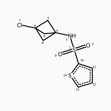 O=S(=O)(NC12CC(Cl)(C1)C2)c1cccs1